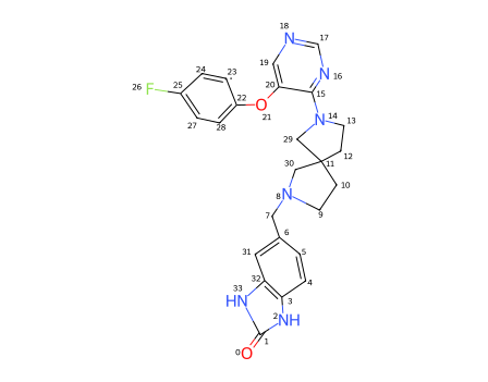 O=c1[nH]c2ccc(CN3CCC4(CCN(c5ncncc5Oc5[c]cc(F)cc5)C4)C3)cc2[nH]1